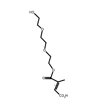 C/C(=C\C(=O)O)C(=O)OCCOCCOCCO